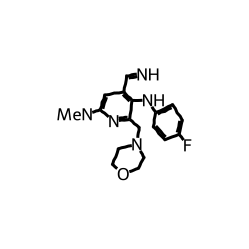 CNc1cc(C=N)c(Nc2ccc(F)cc2)c(CN2CCOCC2)n1